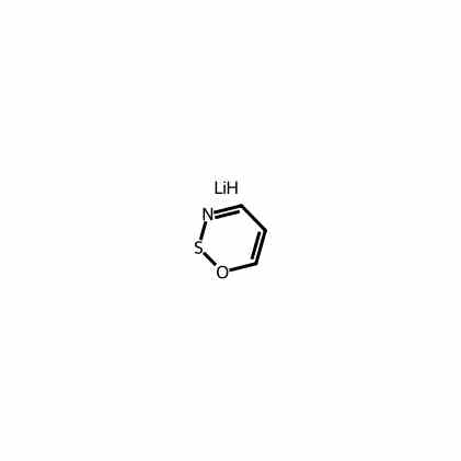 C1=COSN=C1.[LiH]